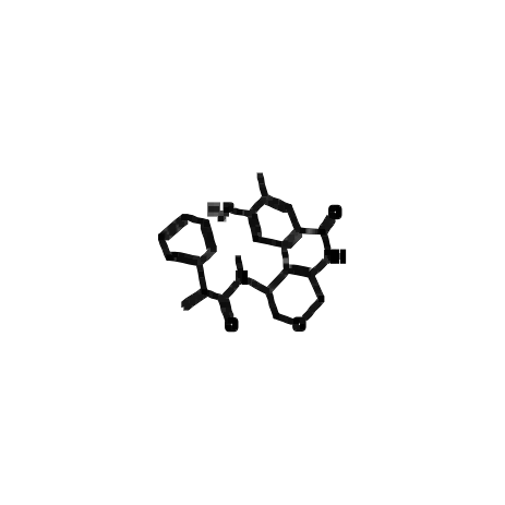 C=C(C(=O)N(C)C1COCc2[nH]c(=O)c3cc(C)c(P)cc3c21)c1ccccc1